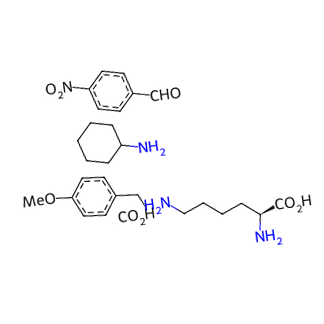 COc1ccc(CC(=O)O)cc1.NC1CCCCC1.NCCCC[C@H](N)C(=O)O.O=Cc1ccc([N+](=O)[O-])cc1